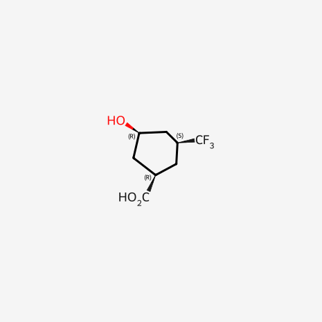 O=C(O)[C@H]1C[C@@H](O)C[C@@H](C(F)(F)F)C1